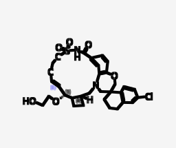 O=C1NS(=O)(=O)CCC/C=C/[C@@H](OCCO)C2CC[C@H]2CN2CC3(CCCc4cc(Cl)ccc43)COc3ccc1cc32